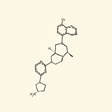 C[C@@H]1CN(c2ccc(C#N)c3ncccc23)C[C@@H]2CN(c3nccc(N4CC[C@H](N)C4)n3)CCN21